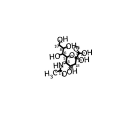 CC(=O)N[C@@H]1C(C(O)C(O)CO)O[C@](O)(C(=O)O)C[C@@H]1O